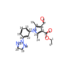 CCOC(=O)c1c(C=O)c(C)n(-c2cccc(-n3nccn3)c2)c1C